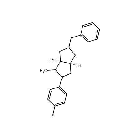 CC1[C@H]2CN(Cc3ccccc3)C[C@H]2CN1c1ccc(F)cc1